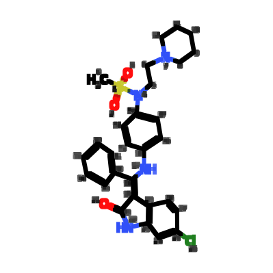 CS(=O)(=O)N(CCN1CCCCC1)c1ccc(NC(=C2C(=O)Nc3cc(Cl)ccc32)c2ccccc2)cc1